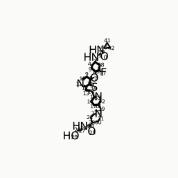 O=C(Nc1ccc(Oc2ccnc3cc(-c4ccc(CN5CCC(C(=O)NCCO)CC5)cn4)sc23)c(F)c1)NC1CC1